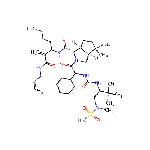 C=CCNC(=O)C(=C)C(CCCC)NC(=O)[C@@H]1[C@H]2CCC(C)(C)[C@H]2CN1C(=O)[C@@H](NC(=O)N[C@H](CN(C)S(C)(=O)=O)C(C)(C)C)C1CCCCC1